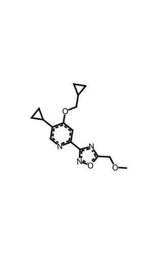 COCc1nc(-c2cc(OCC3CC3)c(C3CC3)cn2)no1